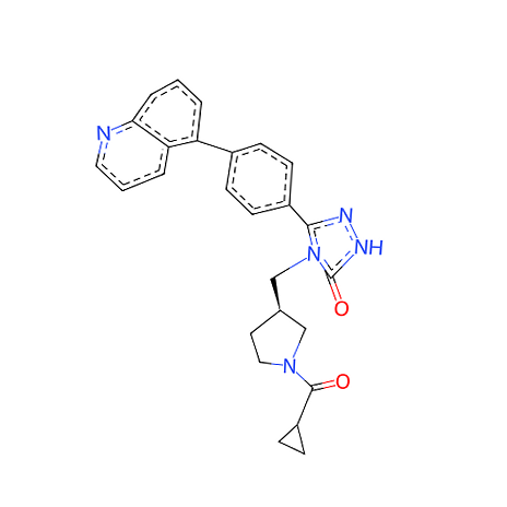 O=C(C1CC1)N1CC[C@@H](Cn2c(-c3ccc(-c4cccc5ncccc45)cc3)n[nH]c2=O)C1